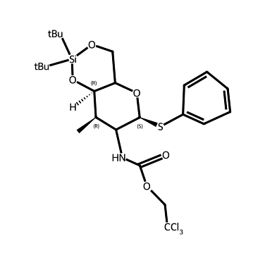 C[C@@H]1C(NC(=O)OCC(Cl)(Cl)Cl)[C@H](Sc2ccccc2)OC2CO[Si](C(C)(C)C)(C(C)(C)C)O[C@@H]21